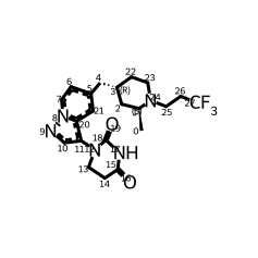 C[C@H]1C[C@H](Cc2ccn3ncc(N4CCC(=O)NC4=O)c3c2)CCN1CCC(F)(F)F